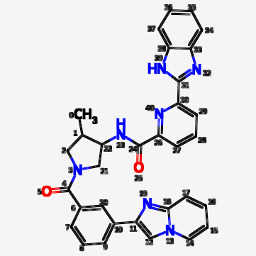 CC1CN(C(=O)c2cccc(-c3cn4ccccc4n3)c2)CC1NC(=O)c1cccc(-c2nc3ccccc3[nH]2)n1